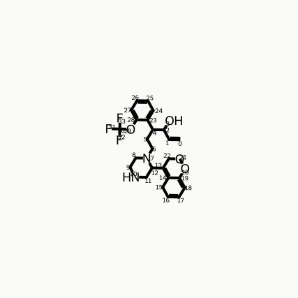 C=CC(O)C(CCN1CCNCC1C1=C2CC=CC=C2OOC1)c1ccccc1OC(F)(F)F